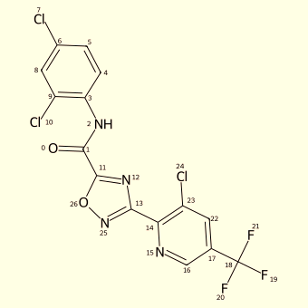 O=C(Nc1ccc(Cl)cc1Cl)c1nc(-c2ncc(C(F)(F)F)cc2Cl)no1